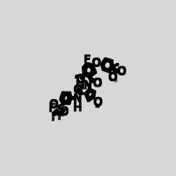 COc1cc(F)c(O[C@H]2CC[C@@](C)(C(=O)OC)CC2)cc1C(=O)N[C@H]1C[C@@H](OC)C[C@H]1C(=O)Nc1cccc(S(=O)(=O)C(F)(F)I)c1